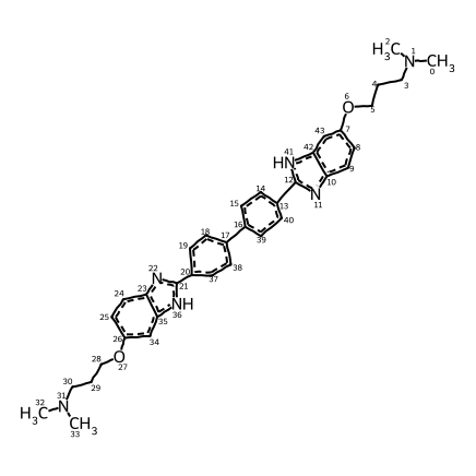 CN(C)CCCOc1ccc2nc(-c3ccc(-c4ccc(-c5nc6ccc(OCCCN(C)C)cc6[nH]5)cc4)cc3)[nH]c2c1